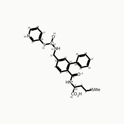 CSCC[C@H](NC(=O)c1ccc(CN[S+]([O-])Sc2cccnc2)cc1-c1ccccc1)C(=O)O